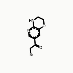 O=C(CBr)c1cnc2c(c1)OCCN2